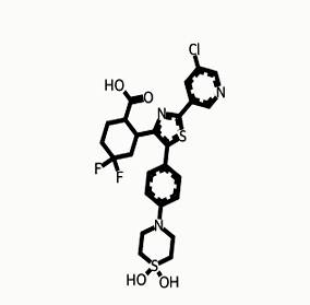 O=C(O)C1CCC(F)(F)CC1c1nc(-c2cncc(Cl)c2)sc1-c1ccc(N2CCS(O)(O)CC2)cc1